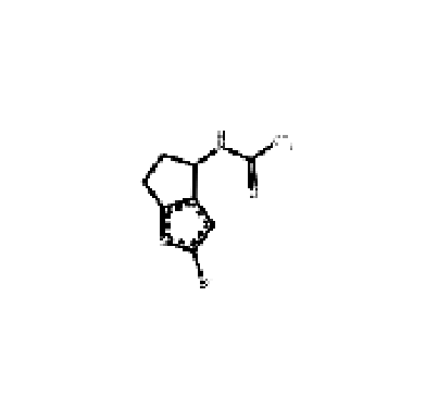 O=C(NC1CCc2sc(Br)cc21)C(F)(F)F